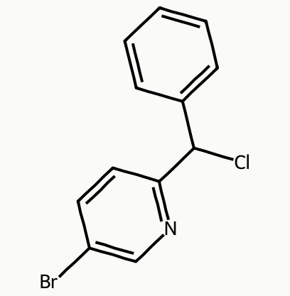 ClC(c1ccccc1)c1ccc(Br)cn1